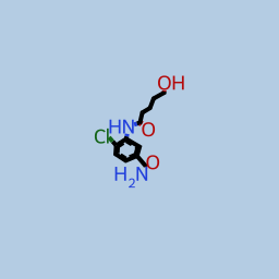 NC(=O)c1ccc(Cl)c(NC(=O)CCCCO)c1